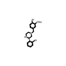 COc1cc(CN2CCN[C@H](c3ccccc3C(C)C)C2)ccc1C(C)C